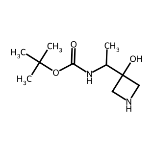 CC(NC(=O)OC(C)(C)C)C1(O)CNC1